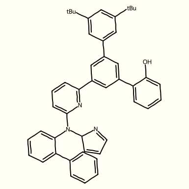 CC(C)(C)c1cc(-c2cc(-c3cccc(N(c4ccccc4-c4ccccc4)C4C=CC=N4)n3)cc(-c3ccccc3O)c2)cc(C(C)(C)C)c1